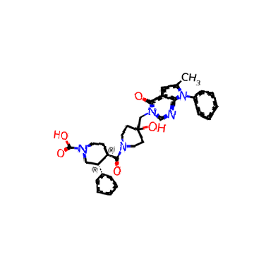 Cc1cc2c(=O)n(CC3(O)CCN(C(=O)[C@@H]4CCN(C(=O)O)C[C@H]4c4ccccc4)CC3)cnc2n1-c1ccccc1